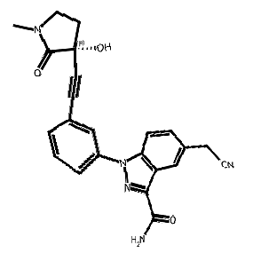 CN1CC[C@@](O)(C#Cc2cccc(-n3nc(C(N)=O)c4cc(CC#N)ccc43)c2)C1=O